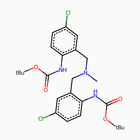 CN(Cc1cc(Cl)ccc1NC(=O)OC(C)(C)C)Cc1cc(Cl)ccc1NC(=O)OC(C)(C)C